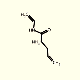 C=CCCC(=O)NC=C.N